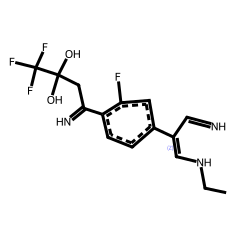 CCN/C=C(\C=N)c1ccc(C(=N)CC(O)(O)C(F)(F)F)c(F)c1